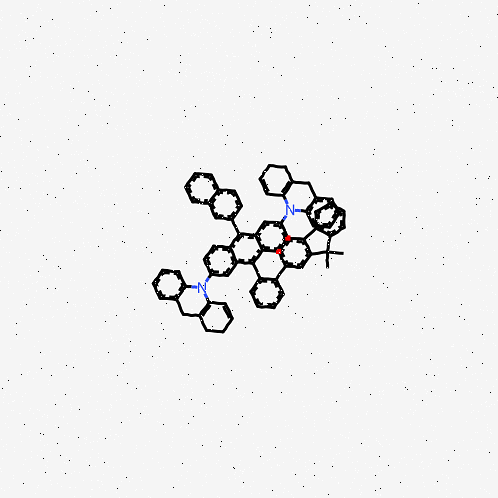 CC1(C)c2ccccc2-c2ccc(-c3ccccc3-c3c4ccc(N5C6=C(CCC=C6)Cc6ccccc65)cc4c(-c4ccc5ccccc5c4)c4ccc(N5C6=C(CCC=C6)Cc6ccccc65)cc34)cc21